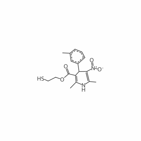 CC1=C(C(=O)OCCS)C(c2cccc(C)c2)C([N+](=O)[O-])=C(C)N1